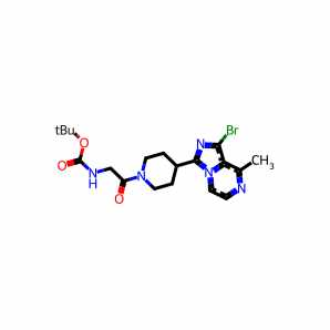 Cc1nccn2c(C3CCN(C(=O)CNC(=O)OC(C)(C)C)CC3)nc(Br)c12